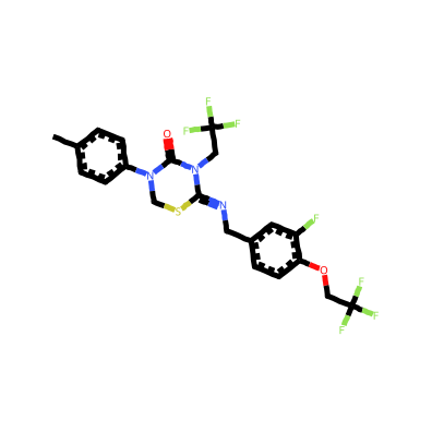 Cc1ccc(N2CSC(=NCc3ccc(OCC(F)(F)F)c(F)c3)N(CC(F)(F)F)C2=O)cc1